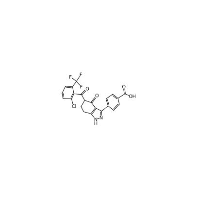 O=C(O)c1ccc(-c2n[nH]c3c2C(=O)C(C(=O)c2c(Cl)cccc2C(F)(F)F)CC3)cc1